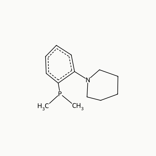 CP(C)c1ccccc1N1CCCCC1